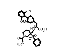 COc1cccc(C#N)c1-c1ccc(C[C@H](NCC2(S(=O)(=O)c3ccccc3)CCCN(C(=O)OC(C)(C)C)C2)C(=O)O)cc1